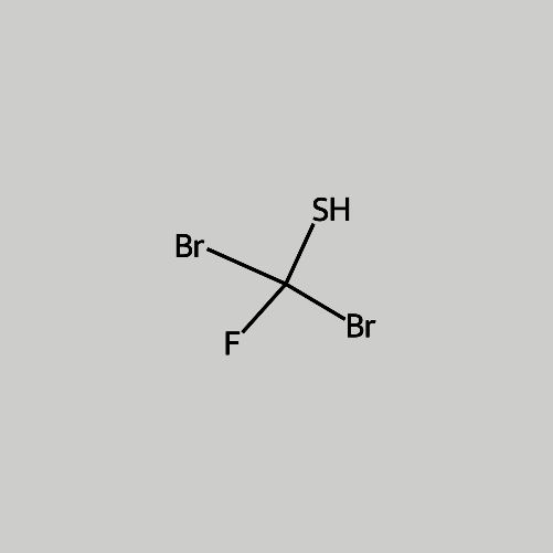 FC(S)(Br)Br